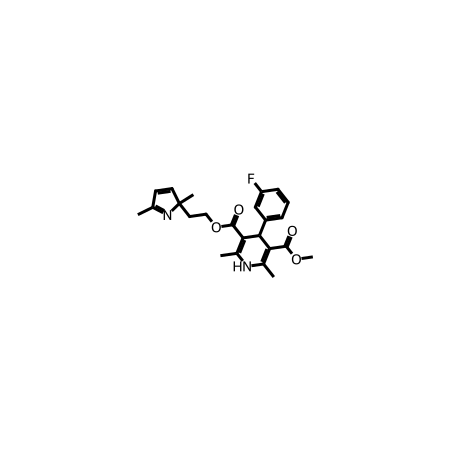 COC(=O)C1=C(C)NC(C)=C(C(=O)OCCC2(C)C=CC(C)=N2)C1c1cccc(F)c1